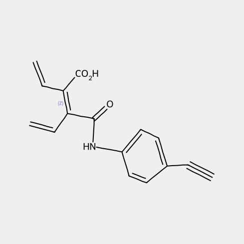 C#Cc1ccc(NC(=O)/C(C=C)=C(/C=C)C(=O)O)cc1